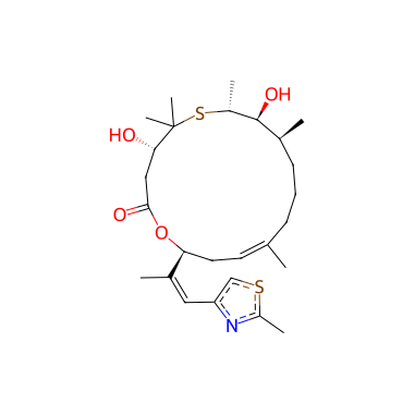 CC1=CC[C@@H](/C(C)=C\c2csc(C)n2)OC(=O)C[C@H](O)C(C)(C)S[C@H](C)[C@@H](O)[C@@H](C)CCC1